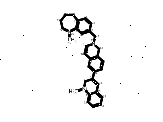 CN1CC(c2ccc3c(c2)C=CN(Cc2ccc4c(c2)N(C)CCCC4)C3)=Cc2ccccc21